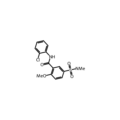 CNS(=O)(=O)c1ccc(OC)c(C(=O)Nc2ccccc2Cl)c1